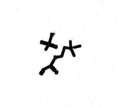 C=CC(=O)OCC[N+](C)(C)C.CS(=O)(=O)[O-]